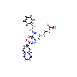 CCC(=O)CCCCCC(NC(=O)c1ccc2nccnc2c1)C(=O)NCCc1ccccc1